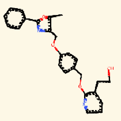 Cc1oc(-c2ccccc2)nc1COc1ccc(COc2ncccc2CCO)cc1